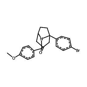 COc1ccc(CN2C3CCC2(c2ccc(Br)cc2)CC(=O)C3)cc1